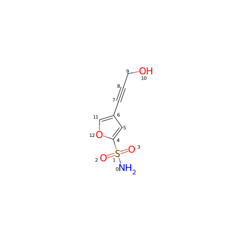 NS(=O)(=O)c1cc(C#CCO)co1